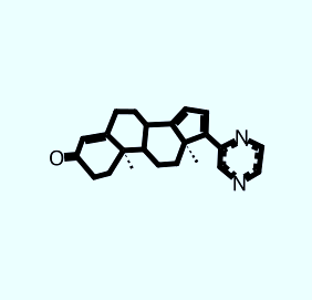 C[C@]12CCC3C(CCC4=CC(=O)CC[C@@]43C)C1=CC=C2c1cnccn1